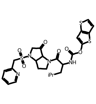 CC(C)CC(NC(=O)Oc1cc2sccc2s1)C(=O)N1CCC2C1C(=O)CN2S(=O)(=O)Cc1ccccn1